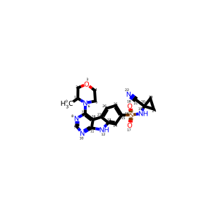 CC1COCCN1c1ncnc2[nH]c3cc(S(=O)(=O)NC4(C#N)CC4)ccc3c12